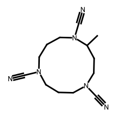 CC1CCN(C#N)CCCN(C#N)CCCN1C#N